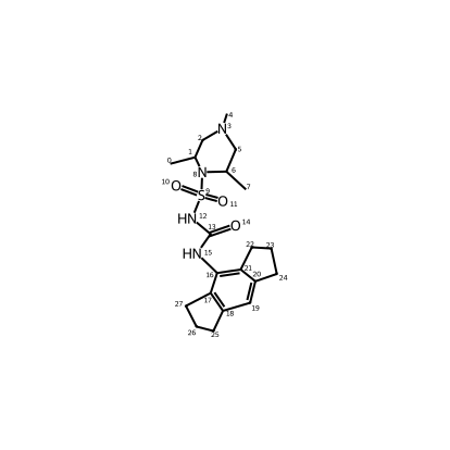 CC1CN(C)CC(C)N1S(=O)(=O)NC(=O)Nc1c2c(cc3c1CCC3)CCC2